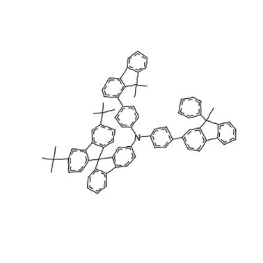 CC(C)(C)c1ccc2c(c1)-c1cc(C(C)(C)C)ccc1C21c2ccccc2-c2ccc(N(c3ccc(-c4ccc5c(c4)C(C)(c4ccccc4)c4ccccc4-5)cc3)c3ccc(-c4cccc5c4C(C)(C)c4ccccc4-5)cc3)cc21